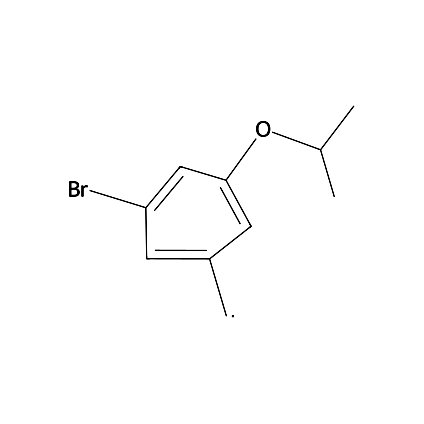 [CH2]c1cc(Br)cc(OC(C)C)c1